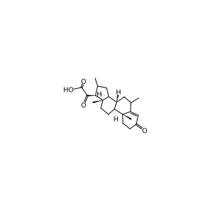 CC1C[C@H]2[C@@H]3CC(C)[C@H](C(=O)C(=O)O)[C@@]3(C)CC[C@@H]2[C@@]2(C)CCC(=O)C=C12